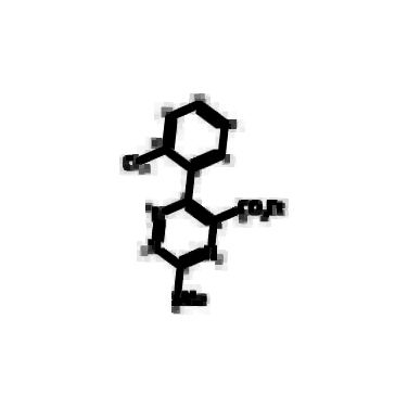 CCOC(=O)c1nc(SC)nnc1-c1ccccc1Cl